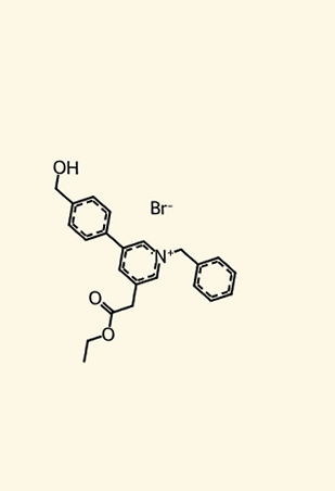 CCOC(=O)Cc1cc(-c2ccc(CO)cc2)c[n+](Cc2ccccc2)c1.[Br-]